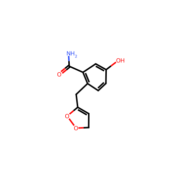 NC(=O)c1cc(O)ccc1CC1=CCOO1